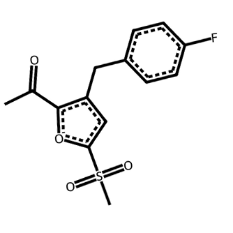 CC(=O)c1oc(S(C)(=O)=O)cc1Cc1ccc(F)cc1